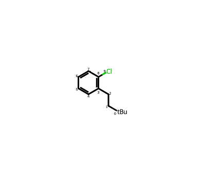 CC(C)(C)CCc1ccc[c]c1Cl